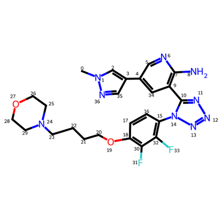 Cn1cc(-c2cnc(N)c(-c3nnnn3-c3ccc(OCCCCN4CCOCC4)c(F)c3F)c2)cn1